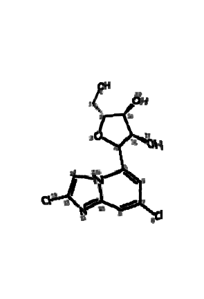 OC[C@H]1OC(c2cc(Cl)cc3nc(Cl)cn23)[C@H](O)[C@@H]1O